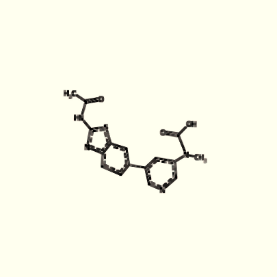 CC(=O)Nc1nc2ccc(-c3cncc(N(C)C(=O)O)c3)cc2s1